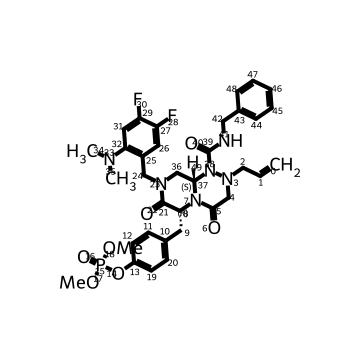 C=CCN1CC(=O)N2[C@H](Cc3ccc(OP(=O)(OC)OC)cc3)C(=O)N(Cc3cc(F)c(F)cc3N(C)C)C[C@@H]2N1C(=O)NCc1ccccc1